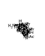 CC(=O)N[C@@H](Cc1ccccc1)C(=O)N[C@@H](C)C(=O)N[C@@H](CC(C)C)C(=O)N[C@@H](CC(N)=O)C(=O)N[C@@H](CC(C)C)C(=O)N[C@@H](C)C(=O)N[C@@H](CCCCN)C(=O)N[C@@H](CC(=O)O)C(N)=O